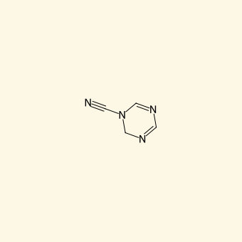 N#CN1C=NC=NC1